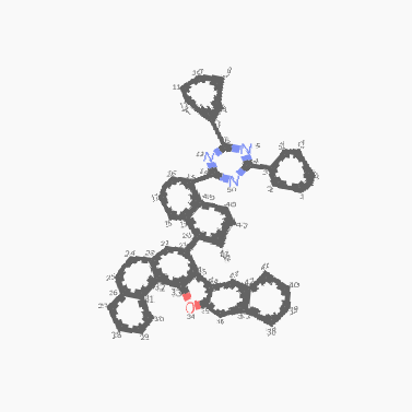 c1ccc(-c2nc(-c3ccccc3)nc(-c3cccc4c(-c5cc6ccc7ccccc7c6c6oc7cc8ccccc8cc7c56)cccc34)n2)cc1